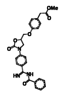 COC(=O)Cc1ccc(OCC2CN(c3ccc(C(=N)NC(=O)c4ccccc4)cc3)C(=O)O2)cc1